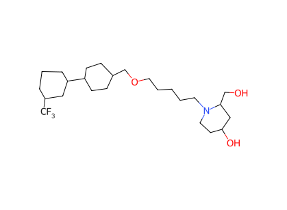 OCC1CC(O)CCN1CCCCCOCC1CCC(C2CCCC(C(F)(F)F)C2)CC1